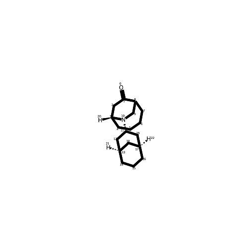 O=C1C[C@H]2CCCCC1CN2[C@H]1C[C@@H]2CCC[C@@H](C2)C1